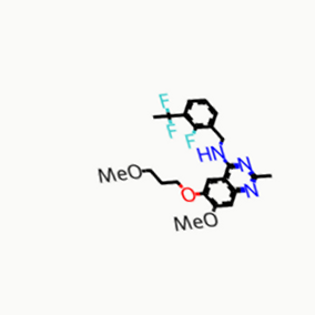 COCCCOc1cc2c(NCc3cccc(C(C)(F)F)c3F)nc(C)nc2cc1OC